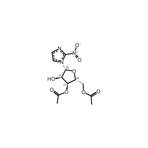 CC(=O)OC[C@H]1O[C@@H](n2ccnc2[N+](=O)[O-])[C@H](O)[C@@H]1OC(C)=O